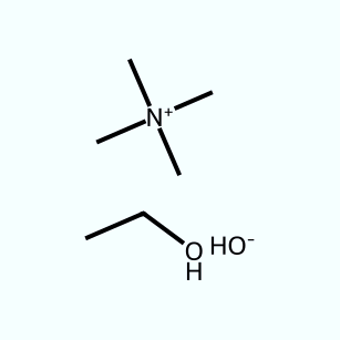 CCO.C[N+](C)(C)C.[OH-]